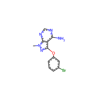 Cn1nc(Oc2cccc(Br)c2)c2c(N)ncnc21